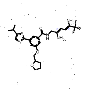 CC(C)c1cnc(-c2cc(OCC3CCCO3)cc(C(=O)NC/C(N)=C/C=C(\N)C(F)(F)F)c2)s1